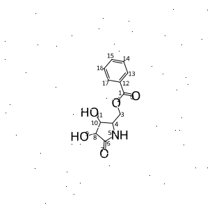 O=C(OCC1NC(=O)C(O)C1O)c1ccccc1